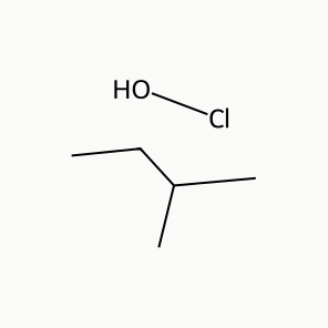 CCC(C)C.OCl